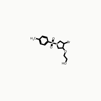 Cc1ccc(S(=O)(=O)N2CC(Br)C(OCCO)C2)cc1